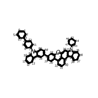 c1ccc(-c2ccc(-n3c4ccccc4c4cc(-c5ccc6c(c5)Oc5cc7c(c8cccc-6c58)c5ccccc5n7-c5ccccc5)ccc43)cc2)cc1